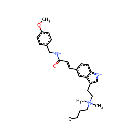 CCCC[N+](C)(C)CCc1c[nH]c2ccc(/C=C/C(=O)NCc3ccc(OC)cc3)cc12